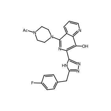 CC(=O)N1CCN(c2nc(-c3nnc(Cc4ccc(F)cc4)[nH]3)c(O)c3ncccc23)CC1